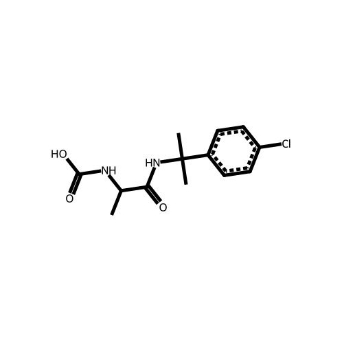 CC(NC(=O)O)C(=O)NC(C)(C)c1ccc(Cl)cc1